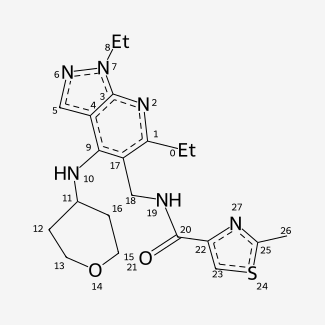 CCc1nc2c(cnn2CC)c(NC2CCOCC2)c1CNC(=O)c1csc(C)n1